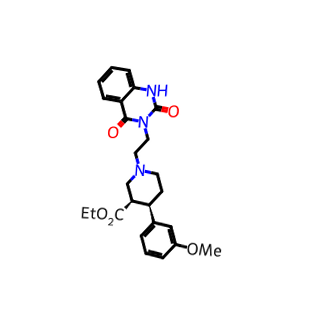 CCOC(=O)[C@H]1CN(CCn2c(=O)[nH]c3ccccc3c2=O)CC[C@H]1c1cccc(OC)c1